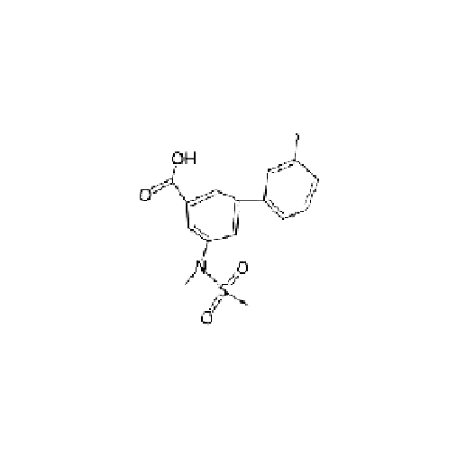 Cc1cccc(-c2cc(C(=O)O)cc(N(C)S(C)(=O)=O)c2)c1